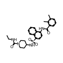 CCNC(=O)N1CCC(NS(=O)(=O)c2ccc(NC(=O)c3cccc(C)c3C)c3ccccc23)CC1